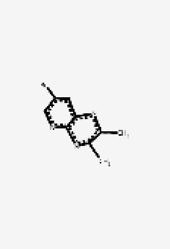 Cc1nc2cc(Br)cnc2nc1C